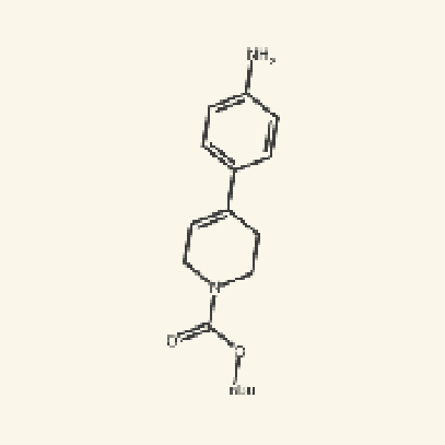 CCCCOC(=O)N1CC=C(c2ccc(N)cc2)CC1